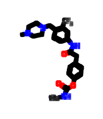 CN1CCN(Cc2ccc(NC(=O)Cc3ccc(OC(=O)NC(C)(C)C)cc3)cc2C(F)(F)F)CC1